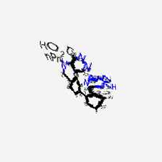 CCCN(Cc1ccc(-c2ccccc2-c2nnn[nH]2)cc1)c1ccnnc1C(=O)O